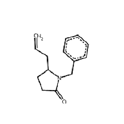 C=CCC1CCC(=O)N1Cc1ccccc1